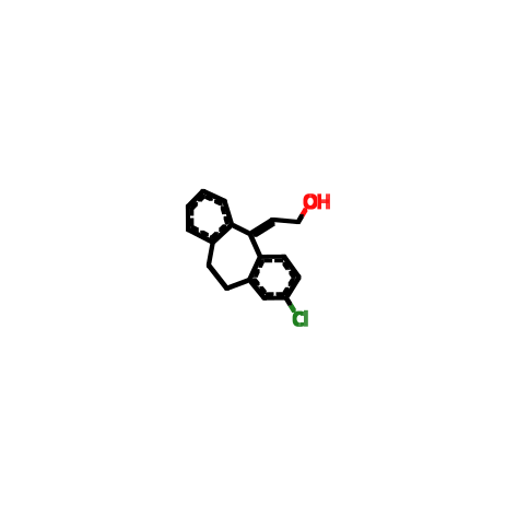 OCC=C1c2ccccc2CCc2cc(Cl)ccc21